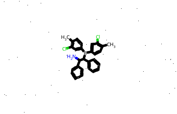 Cc1ccc(B(c2ccc(C)c(Cl)c2)C(c2ccccc2)C(N)c2ccccc2)cc1Cl